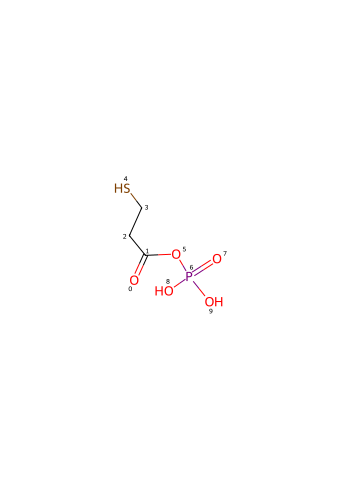 O=C(CCS)OP(=O)(O)O